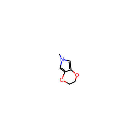 Cn1cc2c(c1)OCCO2